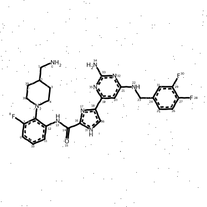 NCC1CCN(c2c(F)cccc2NC(=O)c2nc(-c3cc(NCc4ccc(F)c(F)c4)nc(N)n3)c[nH]2)CC1